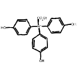 CCOC(=O)[N+](c1ccc(O)cc1)(c1ccc(O)cc1)c1ccc(O)cc1